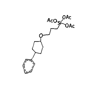 CC(=O)O[Si](CCCOC1CCC(c2ccccc2)CC1)(OC(C)=O)OC(C)=O